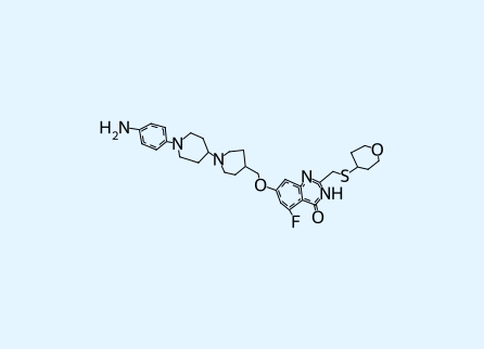 Nc1ccc(N2CCC(N3CCC(COc4cc(F)c5c(=O)[nH]c(CSC6CCOCC6)nc5c4)CC3)CC2)cc1